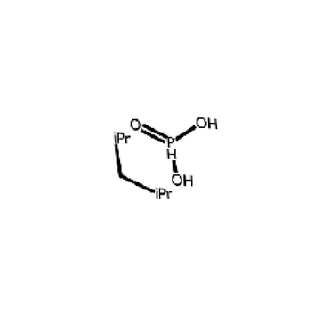 CC(C)CC(C)C.O=[PH](O)O